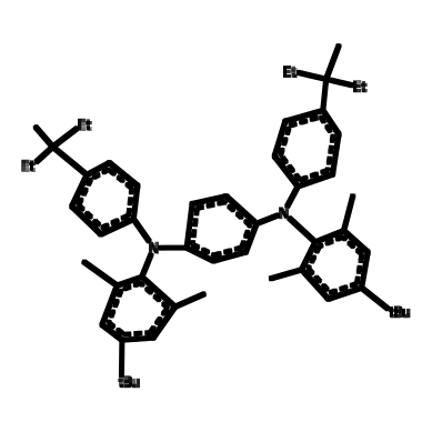 CCC(C)(CC)c1ccc(N(c2ccc(N(c3ccc(C(C)(CC)CC)cc3)c3c(C)cc(C(C)(C)C)cc3C)cc2)c2c(C)cc(C(C)(C)C)cc2C)cc1